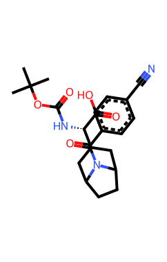 CC(C)(C)OC(=O)N[C@H](C(=O)O)C1CC2CCC(C1)N2C(=O)c1ccc(C#N)cc1